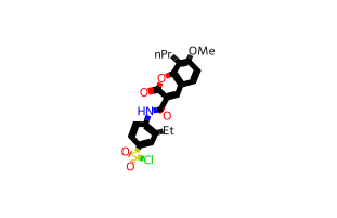 CCCc1c(OC)ccc2cc(C(=O)Nc3ccc(S(=O)(=O)Cl)cc3CC)c(=O)oc12